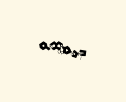 C[C@H]1CCCN1[C@H]1CCN(c2ccc(N3CCC4CCN(Cc5ccccc5)CC4C3=O)c(F)c2)C1